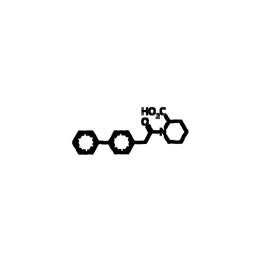 O=C(O)C1CCCCN1C(=O)Cc1ccc(-c2ccccc2)cc1